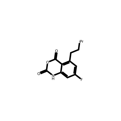 CC(C)CCc1cc(F)cc2[nH]c(=O)oc(=O)c12